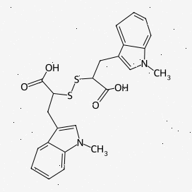 Cn1cc(CC(SSC(Cc2cn(C)c3ccccc23)C(=O)O)C(=O)O)c2ccccc21